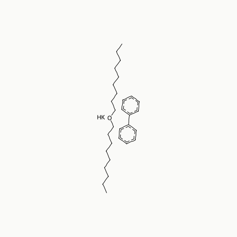 CCCCCCCCCOCCCCCCCCC.[KH].c1ccc(-c2ccccc2)cc1